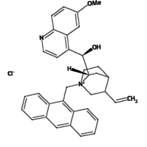 C=CC1C[N+]2(Cc3c4ccccc4cc4ccccc34)CCC1C[C@H]2[C@H](O)c1ccnc2ccc(OC)cc12.[Cl-]